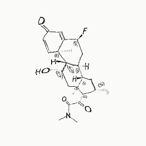 C[C@H]1C[C@H]2[C@@H]3C[C@H](F)C4=CC(=O)C=C[C@]4(C)[C@H]3[C@@H](O)C[C@]2(C)[C@H]1C(=O)C(=O)N(C)C